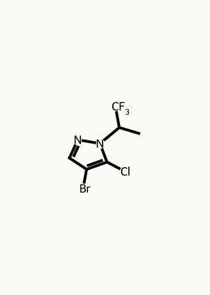 CC(n1ncc(Br)c1Cl)C(F)(F)F